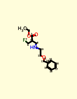 CCOC(=O)C(CF)CNCCOCc1ccccc1